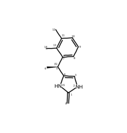 C=C1NC=C([C@@H](C)c2cccc(C)c2C)N1